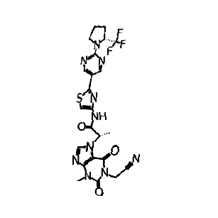 C[C@@H](C(=O)Nc1csc(-c2cnc(N3CCC[C@@H]3C(F)(F)F)nc2)n1)n1cnc2c1c(=O)n(CC#N)c(=O)n2C